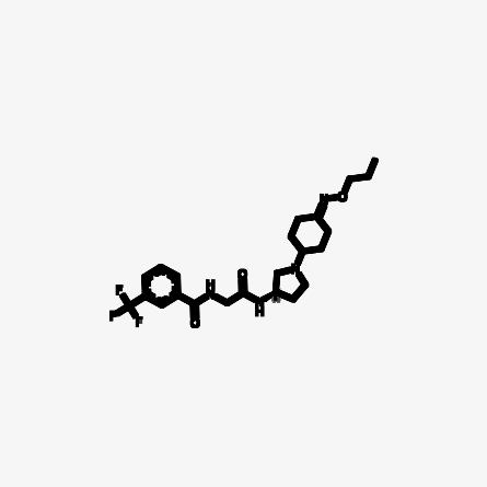 CCCON=C1CCC(N2CC[C@@H](NC(=O)CNC(=O)c3cccc(C(F)(F)F)c3)C2)CC1